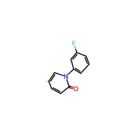 O=c1cc[c]cn1-c1cccc(F)c1